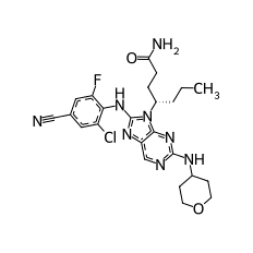 CCC[C@@H](CCC(N)=O)n1c(Nc2c(F)cc(C#N)cc2Cl)nc2cnc(NC3CCOCC3)nc21